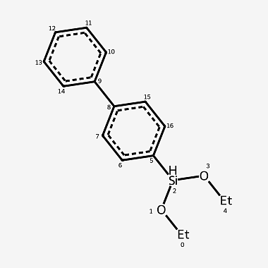 CCO[SiH](OCC)c1ccc(-c2ccccc2)cc1